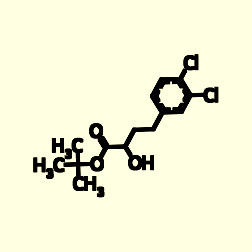 CC(C)(C)OC(=O)C(O)CCc1ccc(Cl)c(Cl)c1